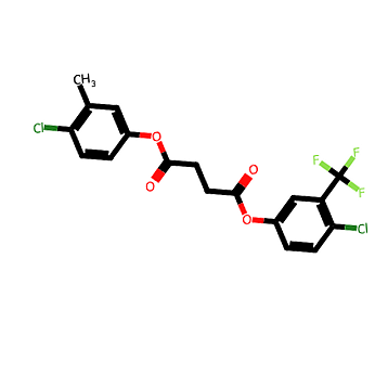 Cc1cc(OC(=O)CCC(=O)Oc2ccc(Cl)c(C(F)(F)F)c2)ccc1Cl